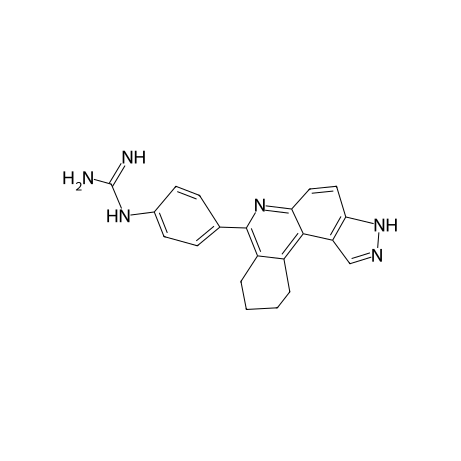 N=C(N)Nc1ccc(-c2nc3ccc4[nH]ncc4c3c3c2CCCC3)cc1